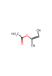 N#CC=C(C#N)OC(=O)C(=O)O